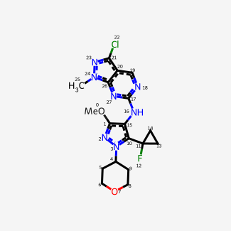 COc1nn(C2CCOCC2)c(C2(F)CC2)c1Nc1ncc2c(Cl)nn(C)c2n1